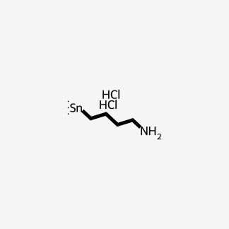 Cl.Cl.NCCC[CH2][Sn]